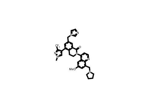 COc1cc(CN2CCCC2)c2nccc(N3CCc4c(cc(Cn5ccnc5)cc4-c4cn(C)nc4C(F)(F)F)C3=O)c2c1